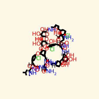 CN[C@H](CC(C)C)C(=O)NC1C(=O)N[C@@H](CC(N)=O)C(=O)N[C@H]2C(=O)N[C@@H](C)c3ccc(O)c(c3)-c3c(O)cc(O)cc3[C@H](C(=O)O)NC(=O)[C@@H](NC=O)[C@H](O[C@H]3C[C@](C)(N)[C@@H](O)[C@H](C)O3)c3ccc(c(Cl)c3)Oc3cc2cc(c3O[C@@H]2O[C@H](CO)[C@@H](O[C@@H]3O[C@H](CNCc4ccc(-c5ccc(Cl)cc5)o4)[C@H](O)[C@H](O)[C@H]3O)[C@H](O)[C@H]2O)Oc2ccc(cc2Cl)[C@H]1O